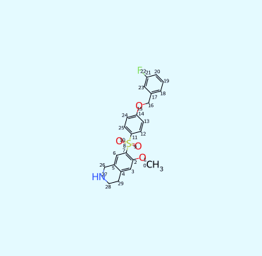 COc1cc2c(cc1S(=O)(=O)c1ccc(OCc3cccc(F)c3)cc1)CNCC2